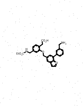 CCOC(=O)NCc1ccc(CC(=O)O)c(OCc2cc(-c3cccc(CN)c3)c3occc3c2)c1